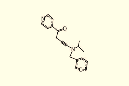 CC(C)N(C#CCC(=O)c1ccncc1)Cc1ccccc1